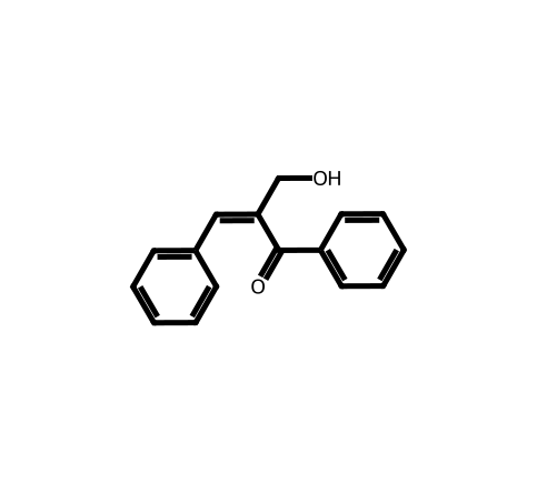 O=C(C(=Cc1ccccc1)CO)c1ccccc1